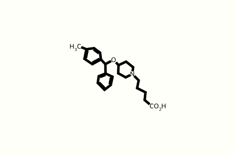 Cc1ccc(C(OC2CCN(CCCCC(=O)O)CC2)c2ccccc2)cc1